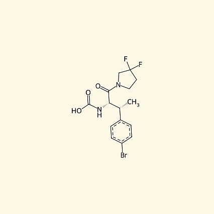 C[C@H](c1ccc(Br)cc1)[C@H](NC(=O)O)C(=O)N1CCC(F)(F)C1